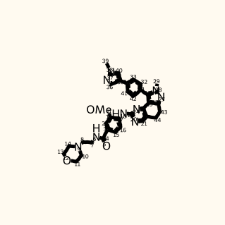 COc1cc(C(=O)NCCN2CCOCC2)ccc1Nc1ncc2c(n1)-c1c(nn(C)c1-c1ccc(-c3cnn(C)c3)cc1)CC2